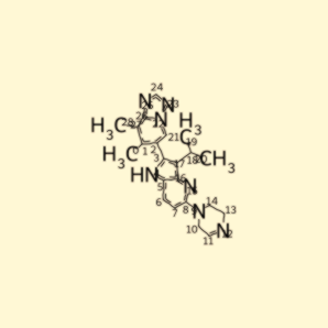 Cc1c(-c2[nH]c3ccc(N4CC=NCC4)nc3c2C(C)C)cn2ncnc2c1C